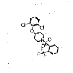 O=S(=O)(c1ccccc1C(F)(F)F)N1CCC(Oc2c(Cl)cccc2Cl)CC1